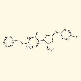 C[C@H](N[C@@H](CCc1ccccc1)C(=O)O)C(=O)N1C[C@@H](Oc2ccc(F)cc2)C[C@H]1C(=O)O